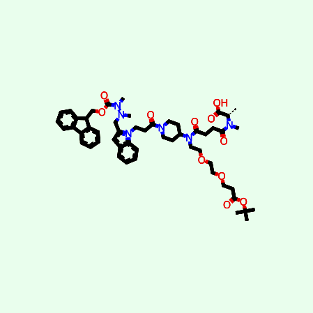 C[C@@H](C(=O)O)N(C)C(=O)CCC(=O)N(CCOCCOCCC(=O)OC(C)(C)C)C1CCN(C(=O)CCn2c(CN(C)N(C)C(=O)OCC3c4ccccc4-c4ccccc43)cc3ccccc32)CC1